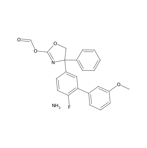 COc1cccc(-c2cc(C3(c4ccccc4)COC(OC=O)=N3)ccc2F)c1.N